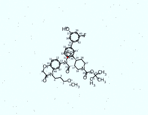 COCCCN1C(=O)COc2ccc(N(C(=O)[C@H]3CN(C(=O)OC(C)(C)C)CC[C@@H]3c3cccc(-c4cc(O)cc(F)c4)c3)C3CC3)cc21